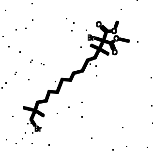 COC(=O)C(Br)(C(=O)OC)C(C)(C)CCCCCCCCCCC(C)(C)CBr